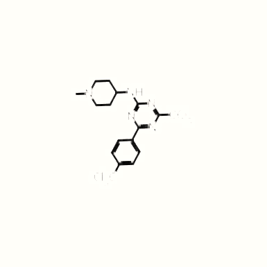 CN1CCC(Nc2nc(-c3ccc(C(Cl)(Cl)Cl)cc3)nc(C(Cl)(Cl)Cl)n2)CC1